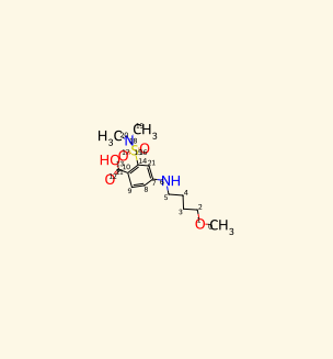 COCCCCNc1ccc(C(=O)O)c(S(=O)(=O)N(C)C)c1